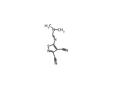 CN(C)C=Nc1snc(C#N)c1C#N